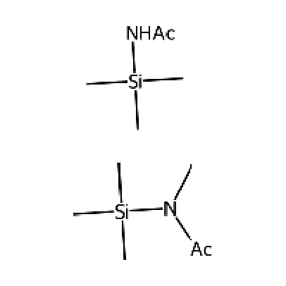 CC(=O)N(C)[Si](C)(C)C.CC(=O)N[Si](C)(C)C